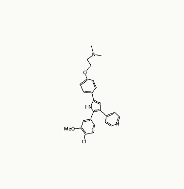 COc1cc(-c2[nH]c(-c3ccc(OCCN(C)C)cc3)cc2-c2ccncc2)ccc1Cl